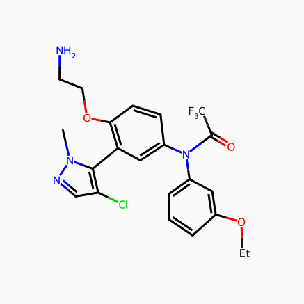 CCOc1cccc(N(C(=O)C(F)(F)F)c2ccc(OCCN)c(-c3c(Cl)cnn3C)c2)c1